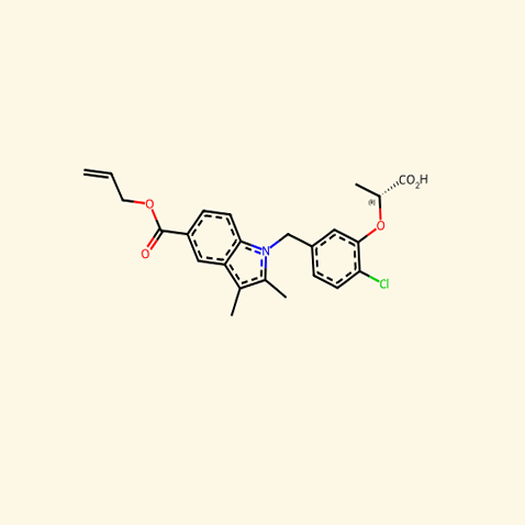 C=CCOC(=O)c1ccc2c(c1)c(C)c(C)n2Cc1ccc(Cl)c(O[C@H](C)C(=O)O)c1